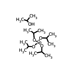 CC(C)O.CC(C)[O][Sn]([O]C(C)C)([O]C(C)C)[O]C(C)C